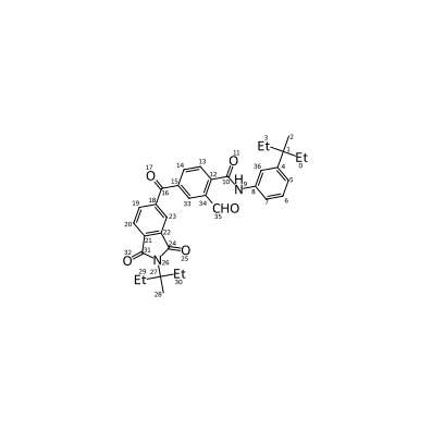 CCC(C)(CC)c1cccc(NC(=O)c2ccc(C(=O)c3ccc4c(c3)C(=O)N(C(C)(CC)CC)C4=O)cc2C=O)c1